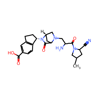 CC1CC(C#N)N(C(=O)C(N)CN2C[C@@H]3CC2C(=O)N3[C@H]2CCc3cc(C(=O)O)ccc32)C1